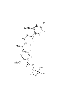 COc1cc(C(=O)N2CCC(c3cnc(C)cc3OC)CC2)ncc1OCC1CCC1(F)F